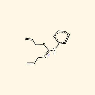 C=CC/N=C(/Nc1ccccc1)SCC=C